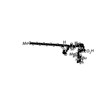 CC[C@H](C)[C@H](NC(=O)[C@H](C(C)C)N(C)C)C(=O)N(C)[C@H](C[C@@H](OC)c1nc(C(=O)N[C@H](CCC(=O)O)Cc2ccc(O)c(NC(=O)CNC(=O)CNC(=O)[C@H](CCCCNC(=O)COCCOCCOCCOCCOCCOCCOCCOCCOCCOC)NC(=O)CCCN3C(=O)C=CC3=O)c2)cs1)C(C)C